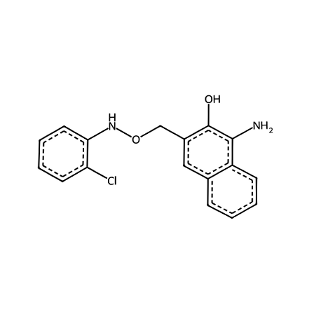 Nc1c(O)c(CONc2ccccc2Cl)cc2ccccc12